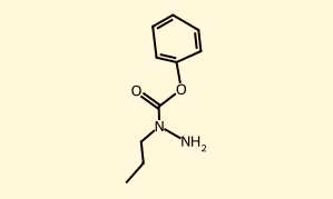 CCCN(N)C(=O)Oc1ccccc1